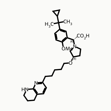 COc1ccc(C(C)(C)C2CC2)cc1[C@H](C(=O)O)N1CC[C@@H](OCCCCCc2ccc3c(n2)NCCC3)C1